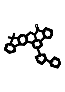 CC1(C)c2ccccc2-c2cc3c(cc21)CC1C(=O)c2ccccc2-c2cc(-c4cccc(-c5ccccc5)c4)cc-3c21